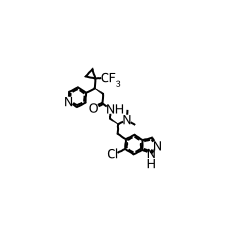 CN(C)[C@H](CNC(=O)C[C@@H](c1ccncc1)C1(C(F)(F)F)CC1)Cc1cc2cn[nH]c2cc1Cl